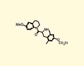 CCOC(=O)Oc1cc(C)c(C[C@H](N)C(=O)N2CCCc3cc(OC)ccc32)c(C)c1